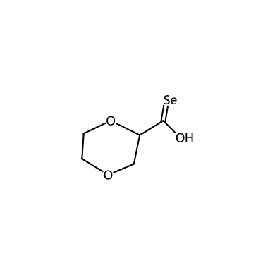 OC(=[Se])C1COCCO1